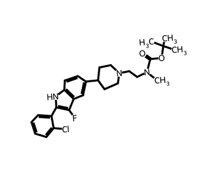 CN(CCN1CCC(c2ccc3[nH]c(-c4ccccc4Cl)c(F)c3c2)CC1)C(=O)OC(C)(C)C